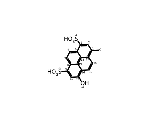 Cc1cc(S(=O)(=O)O)c2ccc3c(S(=O)(=O)O)cc(O)c4ccc1c2c43